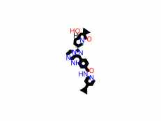 Nc1nccn2c([C@@H]3CC[C@H]4C(O)C5(CC5)C(=O)N4C3)nc(-c3ccc(C(=O)Nc4cc(C5CC5)ccn4)cc3)c12